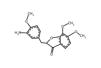 COc1ccc(CC2Oc3c(ccc(OC)c3OC)C2=O)cc1N